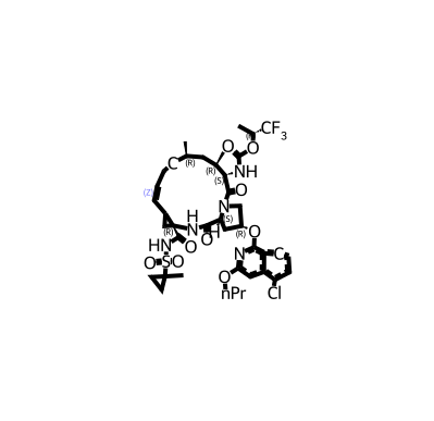 CCCOc1cc2c(Cl)cccc2c(O[C@@H]2C[C@H]3C(=O)N[C@]4(C(=O)NS(=O)(=O)C5(C)CC5)CC4/C=C\CC[C@@H](C)C[C@@H](C)[C@H](NC(=O)O[C@H](C)C(F)(F)F)C(=O)N3C2)n1